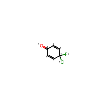 O=C1C=CC(F)(Cl)C=C1